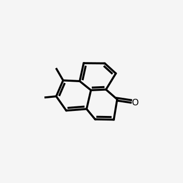 Cc1cc2c3c(cccc3c1C)C(=O)C=C2